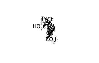 CCC(C(C)C)C(C(C)C)C(C)(CCC(=O)O)O[C@@H]1CO[C@H]2[C@@H]1OC[C@H]2OC(=O)CCC(=O)O